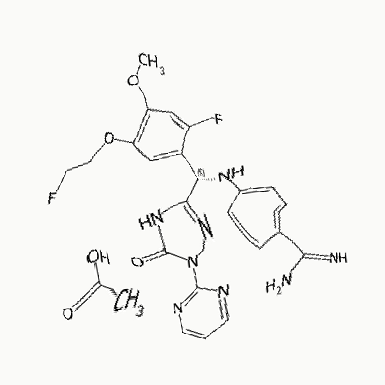 CC(=O)O.COc1cc(F)c([C@H](Nc2ccc(C(=N)N)cc2)c2nn(-c3ncccn3)c(=O)[nH]2)cc1OCCF